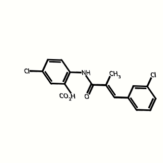 C/C(=C\c1cccc(Cl)c1)C(=O)Nc1ccc(Cl)cc1C(=O)O